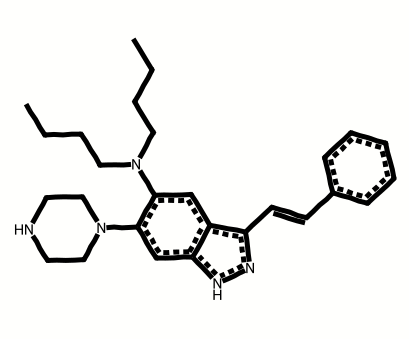 CCCCN(CCCC)c1cc2c(/C=C/c3ccccc3)n[nH]c2cc1N1CCNCC1